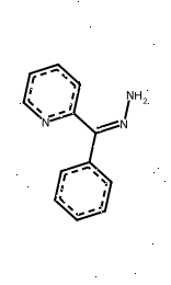 N/N=C(/c1ccccc1)c1ccccn1